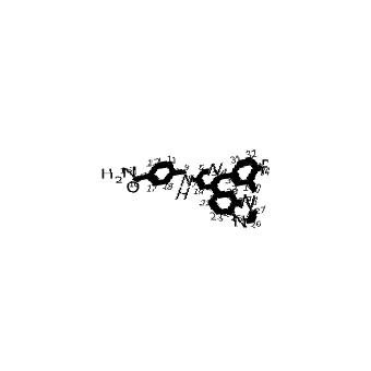 Cc1cc(-c2ncc(NCc3ccc(C(N)=O)cc3)cc2-c2ccc3nccnc3c2)ccc1F